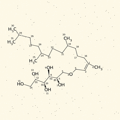 CC(=CCOC[C@@H](O)[C@H](O)[C@@H](O)[C@@H](O)CO)CCCC(C)CCCC(C)CCCC(C)C